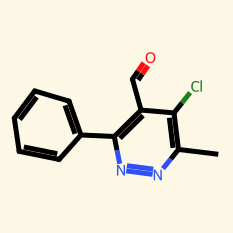 Cc1nnc(-c2ccccc2)c(C=O)c1Cl